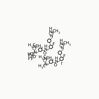 C[C@H]1CN(Cc2cccc(-c3cc(CNC(=O)c4cccc(CN(C)C5CC[N+](C)(C)C5)c4)ccc3F)c2)CCN1.C[C@H]1CN(Cc2cccc(-c3cc(CNC(=O)c4cccc(CN(C)C5CC[N+](C)(C)C5)c4)ccc3F)c2)CCN1.O=C([O-])C(F)(F)F.[I-]